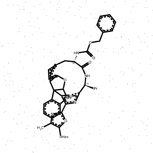 CCCCCCc1oc(-c2nc3oc2C24c5ccccc5NC2Oc2ccc(cc24)C[C@H](NC(=O)OCc2ccccc2)C(=O)N[C@H]3C(C)C)nc1C